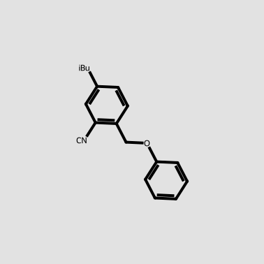 [C-]#[N+]c1cc(C(C)CC)ccc1COc1ccccc1